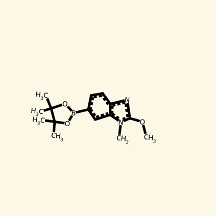 COc1nc2ccc(B3OC(C)(C)C(C)(C)O3)cc2n1C